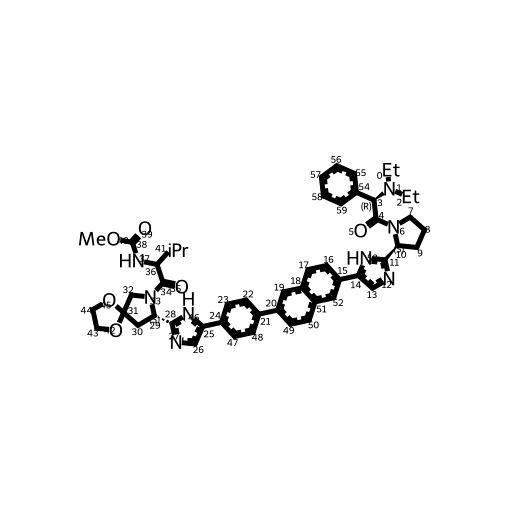 CCN(CC)[C@@H](C(=O)N1CCC[C@H]1c1ncc(-c2ccc3cc(-c4ccc(-c5cnc([C@@H]6CC7(CN6C(=O)C(NC(=O)OC)C(C)C)OCCO7)[nH]5)cc4)ccc3c2)[nH]1)c1ccccc1